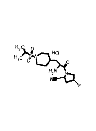 CC(C)S(=O)(=O)N1CCC(CC(N)C(=O)N2C[C@@H](F)C[C@H]2C#N)CC1.Cl